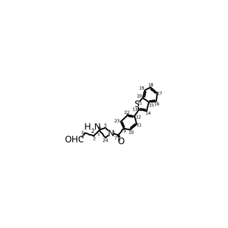 NC1(CCC=O)CN(C(=O)c2ccc(-c3cc4ccccc4s3)cc2)C1